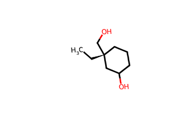 CC[C@@]1(CO)CCCC(O)C1